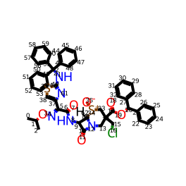 CC(C)ON=C(C(=O)NC1C(=O)N2CC(CCl)(C(=O)OC(c3ccccc3)c3ccccc3)C[S+]([O-])[C@H]12)c1csc(NC(c2ccccc2)(c2ccccc2)c2ccccc2)n1